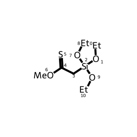 CCO[Si](CC(=S)OC)(OCC)OCC